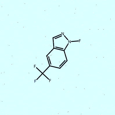 Fn1ncc2cc(C(F)(F)F)ccc21